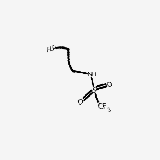 O=S(=O)(NCCS)C(F)(F)F